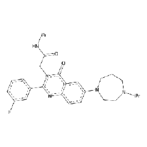 CC(C)NC(=O)Cn1c(-c2cccc(F)c2)nc2ccc(N3CCCN(C(C)C)CC3)cc2c1=O